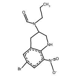 CCCN(C=O)C1CNc2c(cc(Br)cc2[N+](=O)[O-])C1